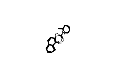 CC1CCCCN1C(=O)Oc1ccc2ccccc2c1Br